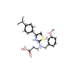 COc1cccc(CN(CCC(=O)O)c2nc(-c3ccc(C(C)C)cc3)cs2)c1